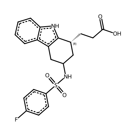 O=C(O)CC[C@@H]1CC(NS(=O)(=O)c2ccc(F)cc2)Cc2c1[nH]c1ccccc21